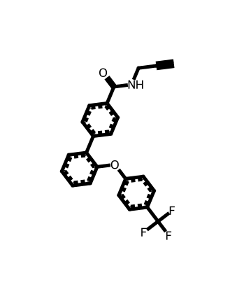 C#CCNC(=O)c1ccc(-c2ccccc2Oc2ccc(C(F)(F)F)cc2)cc1